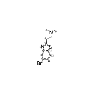 CN(C)CCc1nc2cc(Br)ccc2s1